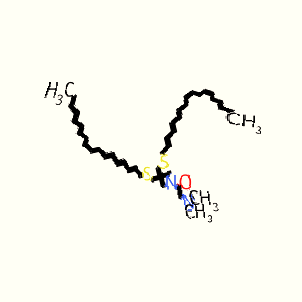 CCCCC/C=C\C/C=C\CCCCCCCCSCC1(CSCCCCCCCC/C=C\CCCCCCCC)CN(C(=O)CN(C)C)C1